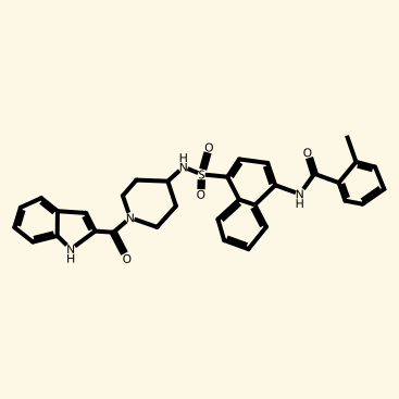 Cc1ccccc1C(=O)Nc1ccc(S(=O)(=O)NC2CCN(C(=O)c3cc4ccccc4[nH]3)CC2)c2ccccc12